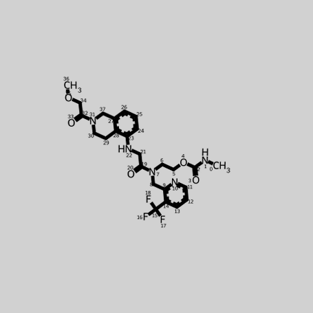 CNC(=O)OCCN(Cc1ncccc1C(F)(F)F)C(=O)CNc1cccc2c1CCN(C(=O)COC)C2